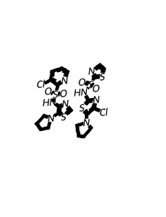 O=S(=O)(Nc1nc(Cl)c(N2CCCC2)s1)c1nccs1.O=S(=O)(Nc1ncsc1N1CCCC1)c1ncccc1Cl